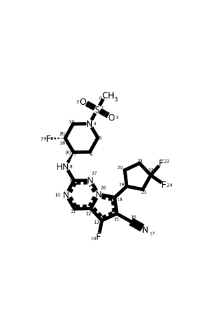 CS(=O)(=O)N1CC[C@@H](Nc2ncc3c(F)c(C#N)c(C4CCC(F)(F)C4)n3n2)[C@H](F)C1